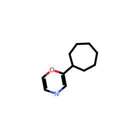 C1=COC(C2CCCCCC2)=C[N]1